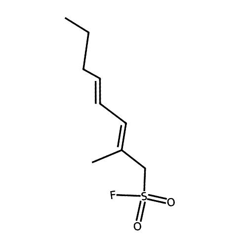 CCC/C=C/C=C(\C)CS(=O)(=O)F